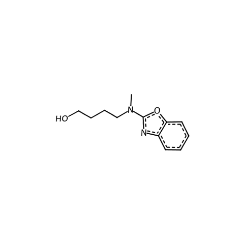 CN(CCCCO)c1nc2ccccc2o1